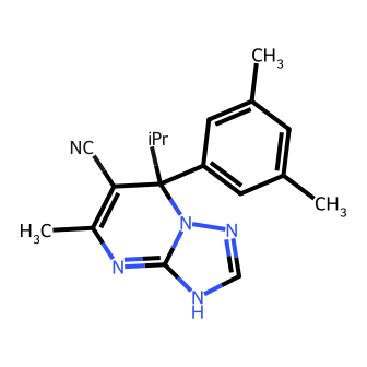 CC1=C(C#N)C(c2cc(C)cc(C)c2)(C(C)C)N2N=CNC2=N1